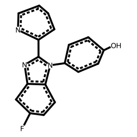 Oc1ccc(-n2c(-c3ccccn3)nc3cc(F)ccc32)cc1